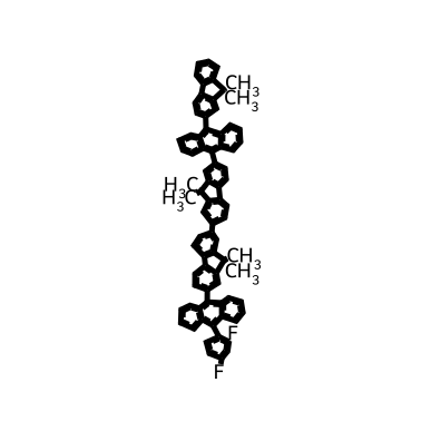 CC1(C)c2ccccc2-c2ccc(-c3c4ccccc4c(-c4ccc5c(c4)C(C)(C)c4cc(-c6ccc7c(c6)C(C)(C)c6cc(-c8c9ccccc9c(-c9ccc(F)cc9F)c9ccccc89)ccc6-7)ccc4-5)c4ccccc34)cc21